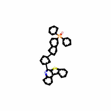 O=P(c1ccccc1)(c1ccccc1)c1ccc2cc(-c3cccc(-c4nc5ccccc5c5c4sc4ccccc45)c3)ccc2c1